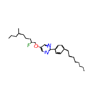 CCCCCCCCc1ccc(-c2ncc(OCC(F)CCCC(C)CCC)cn2)cc1